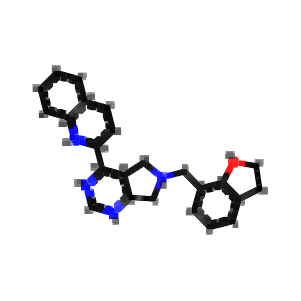 c1cc2c(c(CN3Cc4ncnc(-c5ccc6ccccc6n5)c4C3)c1)OCC2